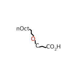 CCCCCCCCCCCOCC=C=CCCC(=O)O